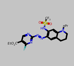 CCCN1CCCc2cc(N=Nc3ncc(C(=O)OCC)c(F)n3)c(NS(=O)(=O)C(F)(F)F)cc21